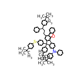 CC(C)(C)c1ccc(Sc2ccc(C3(c4ccc(C(C)(C)C)cc4)c4cc(N(c5ccccc5)c5ccc(C(C)(C)C)cc5)ccc4-c4c3cc(CCC(c3ccccc3)c3ccc(C(C)(C)C)cc3)c3c4oc4ccccc43)cc2)cc1